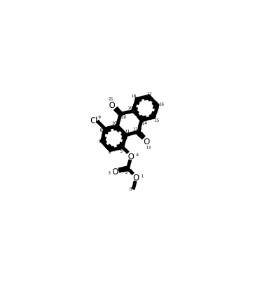 COC(=O)Oc1ccc(Cl)c2c1C(=O)c1ccccc1C2=O